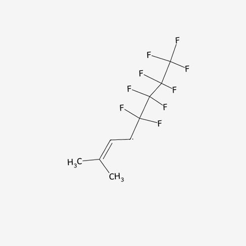 CC(C)=C[CH]C(F)(F)C(F)(F)C(F)(F)C(F)(F)F